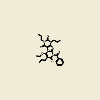 CCCc1c(OCC)n2c3c(=O)n(CCC)c(=O)n(CCC)c3nc2n(C(=S)c2ccccc2)c1=O